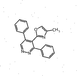 Cc1coc(-c2c(-c3ccccc3)cnnc2-c2ccccc2)n1